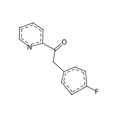 O=C(Cc1ccc(F)cc1)c1ccccn1